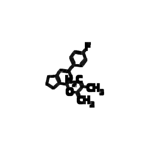 C=C(C)C(=C)Oc1cc(-c2ccc(F)cc2)cc2c1CCC2